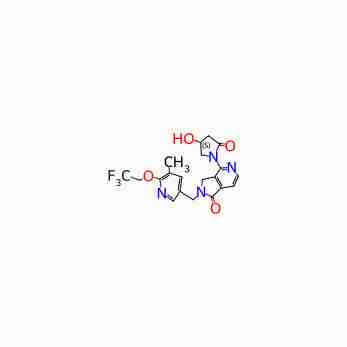 Cc1cc(CN2Cc3c(ccnc3N3C[C@@H](O)CC3=O)C2=O)cnc1OCC(F)(F)F